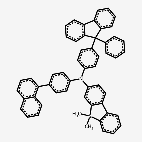 CS1(C)c2ccccc2-c2ccc(N(c3ccc(-c4cccc5ccccc45)cc3)c3ccc(C4(c5ccccc5)c5ccccc5-c5ccccc54)cc3)cc21